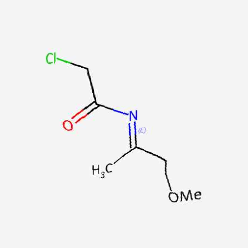 COC/C(C)=N/C(=O)CCl